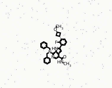 CNC(=O)c1cnc(N(Cc2ccccc2)Cc2ccccc2)c2[nH]c(-c3cccc([C@H]4C[C@H](OC)C4)c3F)cc12